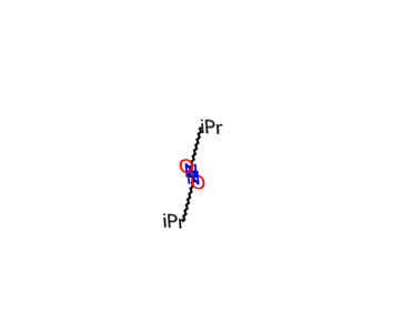 CC(C)CCCCCCCCCCCCCCC(=O)N1CCN(C(=O)CCCCCCCCCCCCCCC(C)C)CC1